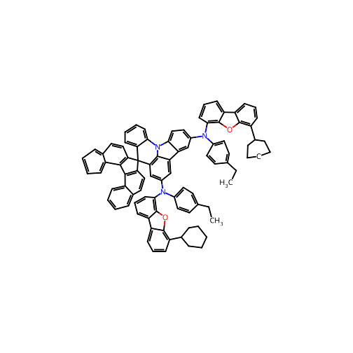 CCc1ccc(N(c2ccc3c(c2)c2cc(N(c4ccc(CC)cc4)c4cccc5c4oc4c(C6CCCCC6)cccc45)cc4c2n3-c2ccccc2C42c3ccc4ccccc4c3-c3c2ccc2ccccc32)c2cccc3c2oc2c(C4CCCCC4)cccc23)cc1